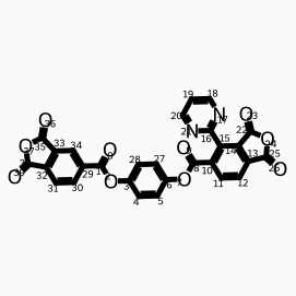 O=C(Oc1ccc(OC(=O)c2ccc3c(c2-c2ncccn2)C(=O)OC3=O)cc1)c1ccc2c(c1)C(=O)OC2=O